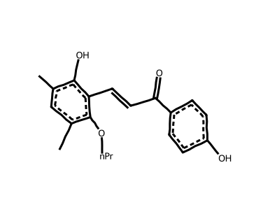 CCCOc1c(C)cc(C)c(O)c1/C=C/C(=O)c1ccc(O)cc1